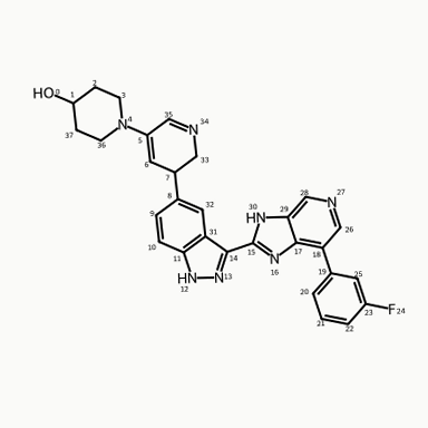 OC1CCN(C2=CC(c3ccc4[nH]nc(-c5nc6c(-c7cccc(F)c7)cncc6[nH]5)c4c3)CN=C2)CC1